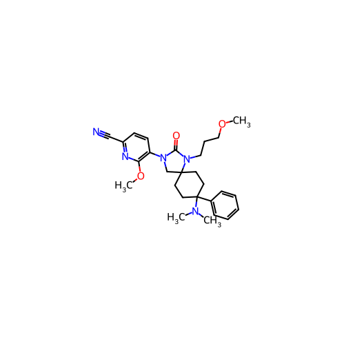 COCCCN1C(=O)N(c2ccc(C#N)nc2OC)CC12CCC(c1ccccc1)(N(C)C)CC2